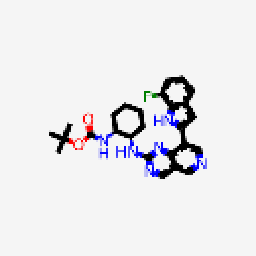 CC(C)(C)OC(=O)N[C@H]1CCCC[C@H]1Nc1ncc2cncc(-c3cc4cccc(F)c4[nH]3)c2n1